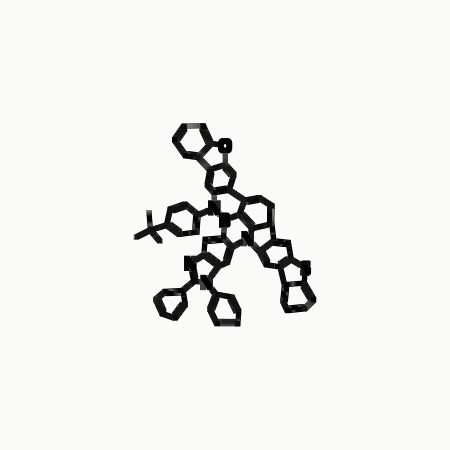 CC(C)(C)c1ccc(N2B3c4cc5nc(-c6ccccc6)n(-c6ccccc6)c5cc4-n4c5cc6c(cc5c5ccc(c3c54)-c3cc4oc5ccccc5c4cc32)sc2ccccc26)cc1